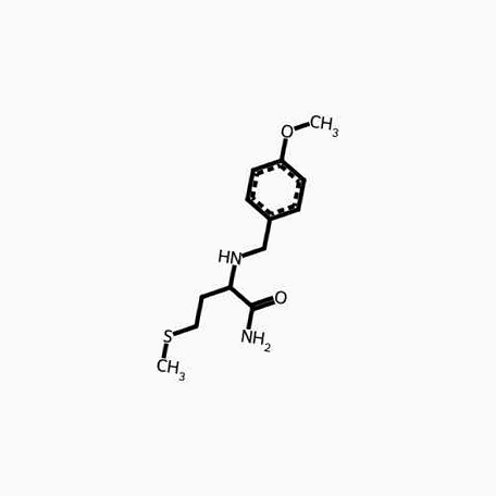 COc1ccc(CNC(CCSC)C(N)=O)cc1